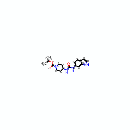 C=C(C)OC(=O)N1CCC(NC(=O)Nc2ccc3cc[nH]c3c2)CC1